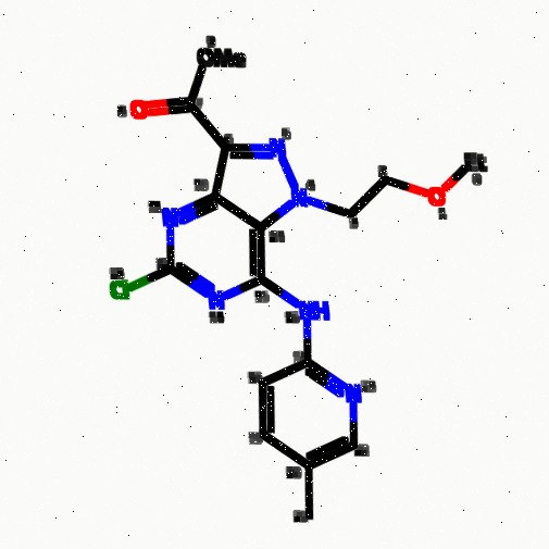 CCOCCn1nc(C(=O)OC)c2nc(Cl)nc(Nc3ccc(C)cn3)c21